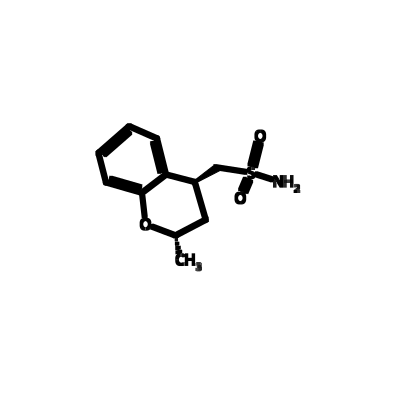 C[C@H]1C[C@H](CS(N)(=O)=O)c2ccccc2O1